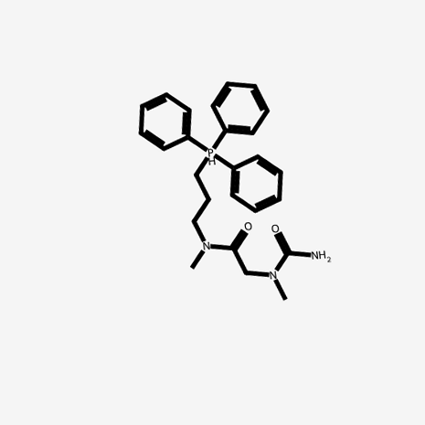 CN(CC(=O)N(C)CCC[PH](c1ccccc1)(c1ccccc1)c1ccccc1)C(N)=O